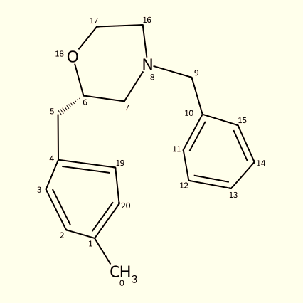 Cc1ccc(C[C@H]2CN(Cc3ccccc3)CCO2)cc1